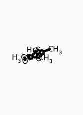 CC#Cc1cc(C)c(C2C(=O)CC3(CC2=O)CC2CC3CN2C(C)=O)c(C)c1